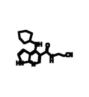 N#CCCNC(=O)c1cnc2[nH]ccc2c1NC1CCCCC1